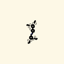 C=CC(=O)Oc1ccc(/C=C/c2ccc(-c3ccc(OC(=O)C=C)c(OC(=O)C=C)c3)c(F)c2)cc1OC(=O)C=C